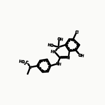 CN(C(=O)O)c1ccc(NC2=Nc3c(O)cc(Cl)cc3S(O)(O)N2)cc1